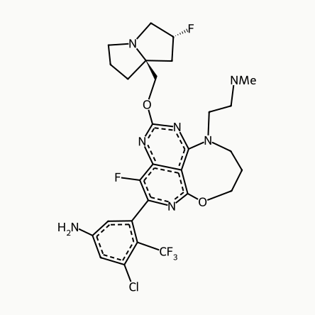 CNCCN1CCCOc2nc(-c3cc(N)cc(Cl)c3C(F)(F)F)c(F)c3nc(OC[C@@]45CCCN4C[C@H](F)C5)nc1c23